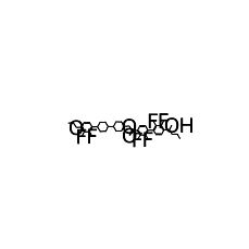 CCCC(O)c1ccc(-c2ccc(C(=O)OC3CCC(C4CCC(c5ccc(OCC)c(F)c5F)CC4)CC3)c(F)c2F)c(F)c1F